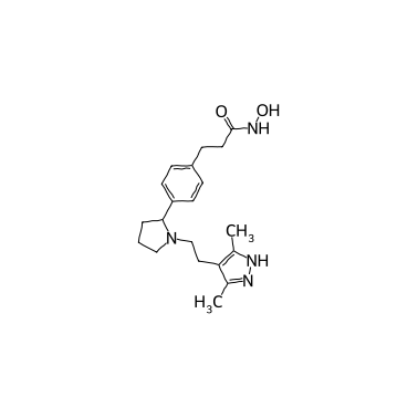 Cc1n[nH]c(C)c1CCN1CCCC1c1ccc(CCC(=O)NO)cc1